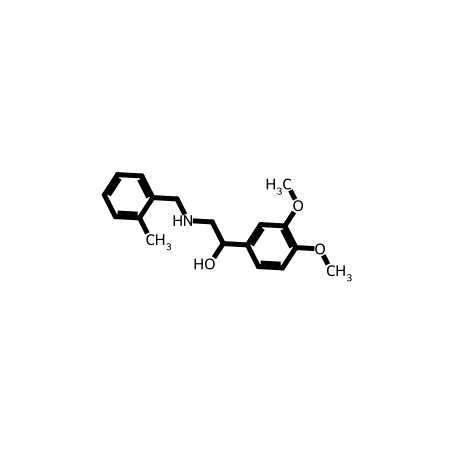 COc1ccc(C(O)CNCc2ccccc2C)cc1OC